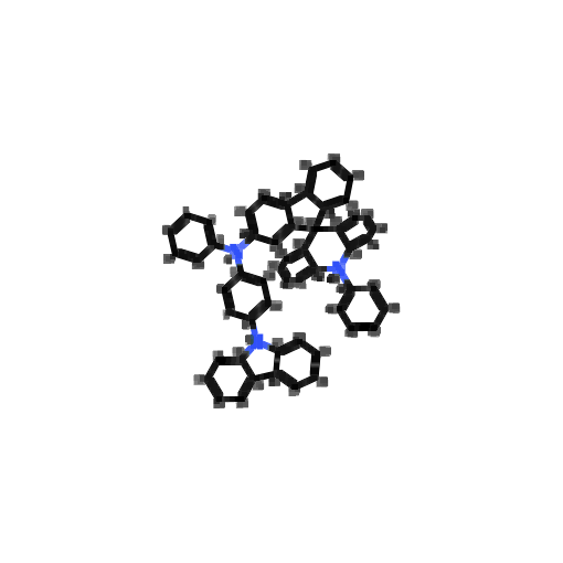 c1ccc(N(c2ccc(-n3c4ccccc4c4ccccc43)cc2)c2ccc3c(c2)C2(c4ccccc4-3)c3ccccc3N(c3ccccc3)c3ccccc32)cc1